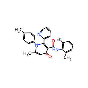 CCc1cccc(C)c1NC(=O)c1c(-c2ccccn2)n(-c2ccc(C)cc2)c(C)cc1=O